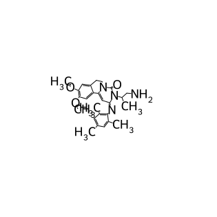 COc1cc2c(cc1OC)-c1c/c(=N\c3c(C)cc(C)cc3C)n(C(C)CN)c(=O)n1CC2